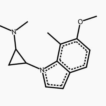 COc1ccc2ccn(C3CC3N(C)C)c2c1C